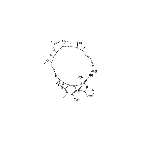 CO[C@H]1/C=C/O[C@@]2(C)Oc3c(C)c(O)c4c(O)c(c5c(c4c3C2=O)NC2C=CC=CN52)NC(=O)/C(C)=C\C=C\[C@H](C)[C@H](O)[C@@H](C)[C@@H](O)[C@@H](C)[C@H](OC(C)=O)[C@@H]1C